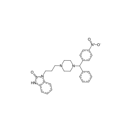 O=c1[nH]c2ccccc2n1CCCN1CCN(C(c2ccccc2)c2ccc([N+](=O)[O-])cc2)CC1